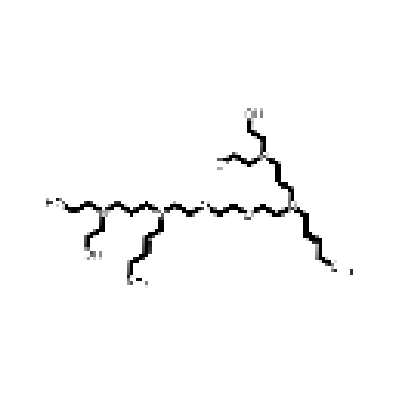 CCC=CCN(CCCN(CCO)CCO)CCOCCOCCN(CC=CCC)CCCN(CCO)CCO